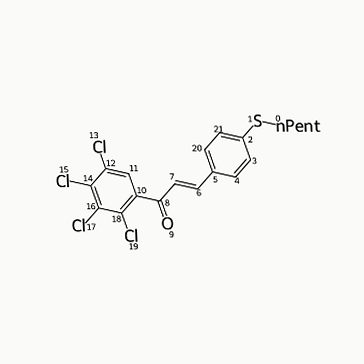 CCCCCSc1ccc(/C=C/C(=O)c2cc(Cl)c(Cl)c(Cl)c2Cl)cc1